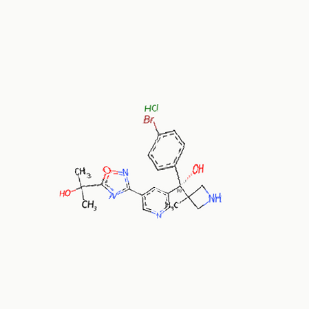 CC(C)(O)c1nc(-c2cncc([C@@](O)(c3ccc(Br)cc3)C3(C)CNC3)c2)no1.Cl